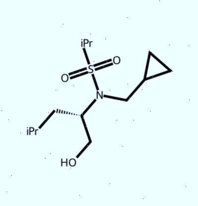 CC(C)C[C@@H](CO)N(CC1CC1)S(=O)(=O)C(C)C